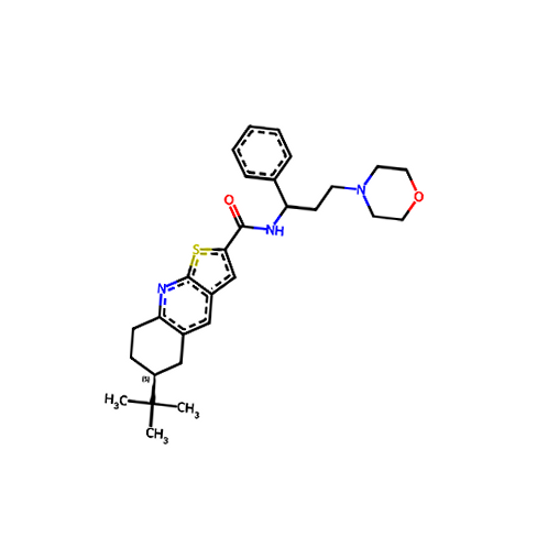 CC(C)(C)[C@H]1CCc2nc3sc(C(=O)NC(CCN4CCOCC4)c4ccccc4)cc3cc2C1